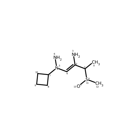 CC(/C(N)=C/N(N)C1CCC1)[S+](C)[O-]